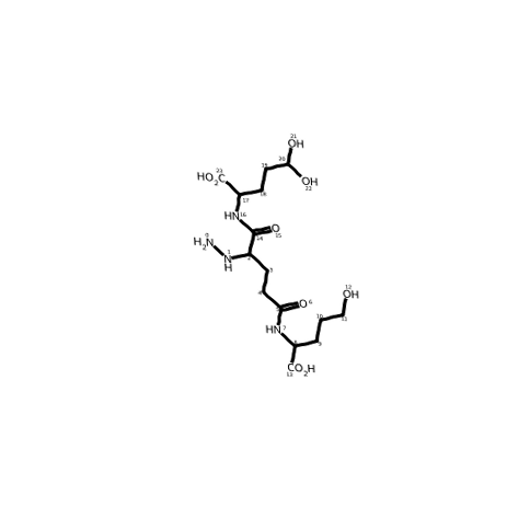 NNC(CCC(=O)NC(CCCO)C(=O)O)C(=O)NC(CCC(O)O)C(=O)O